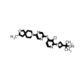 C[C@H]1CC2(CCN(c3cnc(Sc4ccnc(N5CC(C(C)(C)O)C5)c4Cl)cn3)CC2)CO1